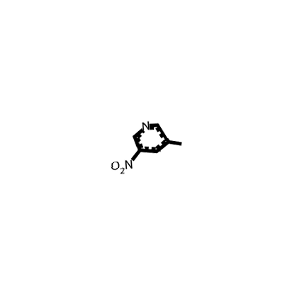 Cc1[c]c([N+](=O)[O-])cnc1